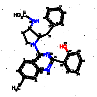 Cc1ccc2c(N3CCC(NC(=O)O)C3Cc3ccccc3)nc(-c3ccccc3O)nc2c1